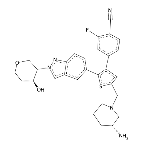 N#Cc1ccc(-c2cc(CN3CCC[C@@H](N)C3)sc2-c2ccc3nn([C@H]4COCC[C@@H]4O)cc3c2)cc1F